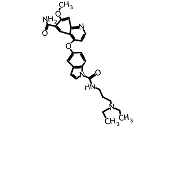 CCN(CC)CCCNC(=O)n1ccc2cc(Oc3ccnc4cc(OC)c(C(N)=O)cc34)ccc21